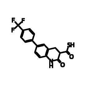 O=C(S)C1Cc2cc(-c3ccc(C(F)(F)F)cc3)ccc2NC1=O